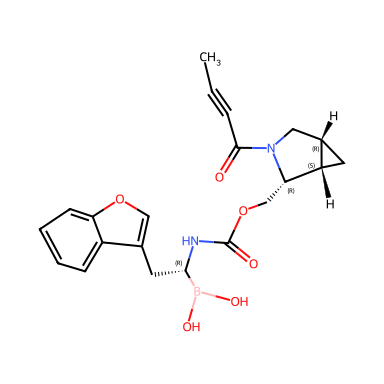 CC#CC(=O)N1C[C@@H]2C[C@@H]2[C@@H]1COC(=O)N[C@@H](Cc1coc2ccccc12)B(O)O